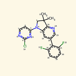 CC1(C)CN(c2ccnc(Cl)n2)c2cc(-c3c(F)cccc3F)cnc21